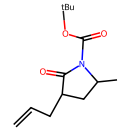 C=CCC1CC(C)N(C(=O)OC(C)(C)C)C1=O